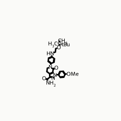 COc1ccc(-n2nc(C(N)=O)c3c2C(=O)N(c2ccc(NCCO[Si](C)(C)C(C)(C)C)cc2)CC3)cc1